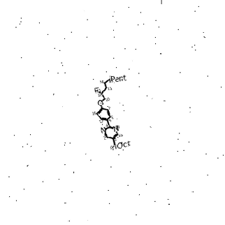 CCCCCCCCc1cnc(-c2ccc(OCC(F)CCC(C)CCC)cc2)nc1